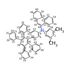 Cc1cc(C)cc(N(c2ccc3c(c2)c2ccccc2c2c(-c4ccccc4)cc(-c4ccccc4)c(-c4ccccc4)c32)c2cc3ccccc3c3ccccc23)c1